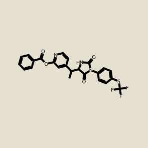 CC(c1ccnc(OC(=O)c2ccccc2)c1)C1NC(=O)N(c2ccc(SC(F)(F)F)cc2)C1=O